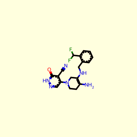 N#Cc1c(N2CCC(N)=C(NCc3ccccc3C(F)F)C2)cn[nH]c1=O